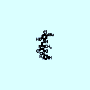 CN(C(=O)c1c(Cl)nc(CNc2cc(C(C)(C)C)c(Cl)cc2O)n1C)C1CCNC1